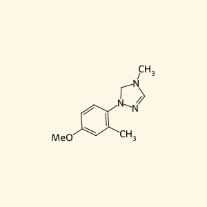 COc1ccc(N2CN(C)C=N2)c(C)c1